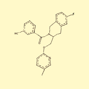 Cc1ccc(OCC2Cc3cc(F)ccc3CN2C(=O)c2cccc(C#N)c2)nc1